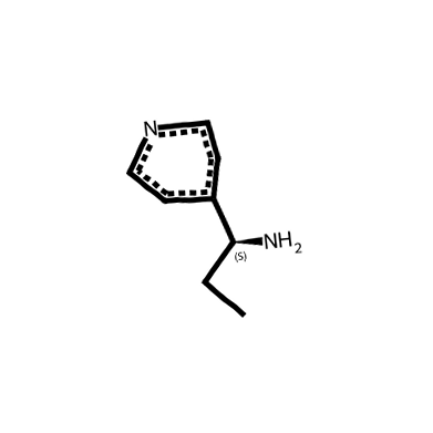 CC[C@H](N)c1ccncc1